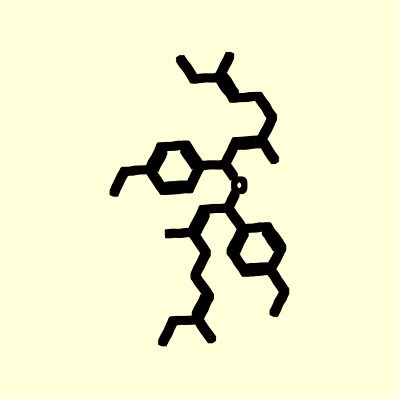 CCC(C)=CCCC(C)=CC(OC(C=C(C)CCC=C(C)CC)c1ccc(CC)cc1)c1ccc(CC)cc1